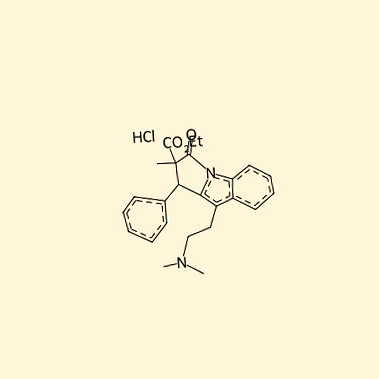 CCOC(=O)C1(C)C(=O)n2c(c(CCN(C)C)c3ccccc32)C1c1ccccc1.Cl